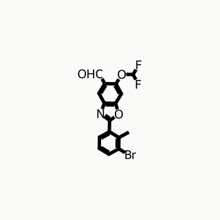 Cc1c(Br)cccc1-c1nc2cc(C=O)c(OC(F)F)cc2o1